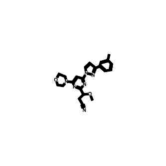 COC(CC#N)c1nc(N2CCOCC2)cc(-n2ccc(-c3cccc(C)c3)n2)n1